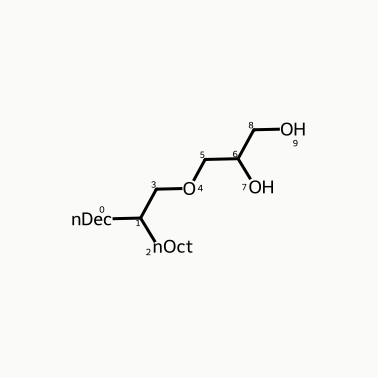 CCCCCCCCCCC(CCCCCCCC)COCC(O)CO